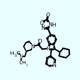 CN(C)CC1CCCN(C(=O)Cn2c(-c3cccnc3)c(C3CCCCC3)c3ccc(-c4noc(=O)[nH]4)cc32)C1